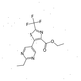 CCOC(=O)c1nc(C(F)(F)F)sc1-c1cnc(CC)nc1